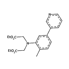 CCOC(=O)CN(CC(=O)OCC)c1cc(-c2cccnc2)ccc1C